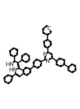 N=C(/C(=C1\NC(c2ccccc2)=Cc2ccc(-c3ccc(-c4nc(-c5ccc(-c6ccccc6)cc5)cc(-c5ccc(-c6ccccc6)cc5)n4)cc3)cc21)c1ccccc1)c1ccccc1